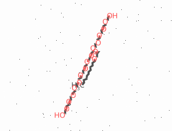 CCCCCCCCCCCCOCC1CO1.OCCOCCOCCOCCOCCOCCOCCOCCOCCOCCOCCOCCOCCOCCOCCO